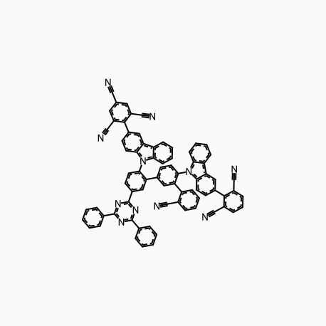 N#Cc1cc(C#N)c(-c2ccc3c(c2)c2ccccc2n3-c2ccc(-c3nc(-c4ccccc4)nc(-c4ccccc4)n3)cc2-c2ccc(-n3c4ccccc4c4cc(-c5c(C#N)cccc5C#N)ccc43)c(-c3ccccc3C#N)c2)c(C#N)c1